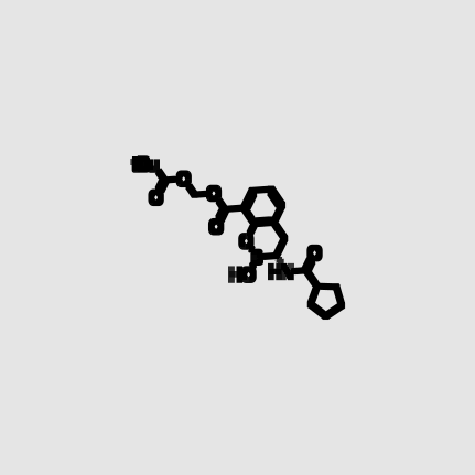 CC(C)(C)C(=O)OCOC(=O)c1cccc2c1OB(O)[C@@H](NC(=O)C1CCCC1)C2